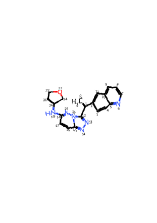 CC(c1ccc2ncccc2c1)c1nnc2ccc(NC3CCOC3)nn12